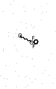 O=[C]CCCCCOc1c(F)cccc1F